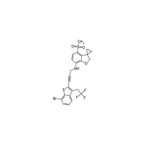 CS(=O)(=O)c1ccc(NCC#Cc2sc3c(Br)cccc3c2CC(F)(F)F)c2c1C1(CC1)CO2